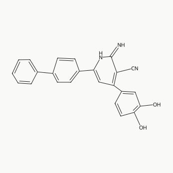 N#Cc1c(-c2ccc(O)c(O)c2)cc(-c2ccc(-c3ccccc3)cc2)[nH]c1=N